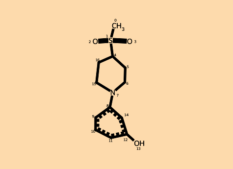 CS(=O)(=O)C1CCN(c2cccc(O)c2)CC1